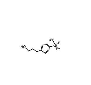 CC(C)[Si](F)(c1ccc(CCCO)cc1)C(C)C